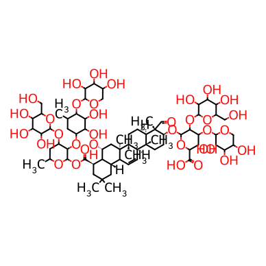 CC1CC(OC2OC(CO)C(O)C(O)C2O)C(OC2CC(C)C(OC3OCC(O)C(O)C3O)C(O)C2O)C(OC(=O)[C@@H]2CC(C)(C)C[C@@H]3C2[C@H](O)C[C@]2(C)C3C=C[C@@H]3[C@@]4(C)CC[C@H](OC5OC(C(=O)O)C(O)C(OC6OCC(O)C(O)C6O)C5OC5OC(CO)C(O)C(O)C5O)[C@@](C)(C=O)[C@@H]4CC[C@]32C)O1